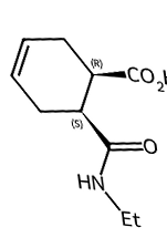 CCNC(=O)[C@H]1CC=CC[C@H]1C(=O)O